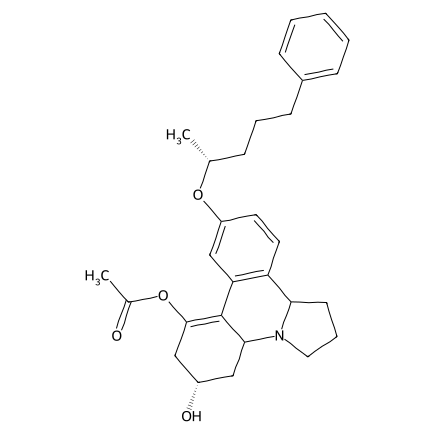 CC(=O)OC1=C2c3cc(O[C@H](C)CCCc4ccccc4)ccc3C3CCCN3C2C[C@H](O)C1